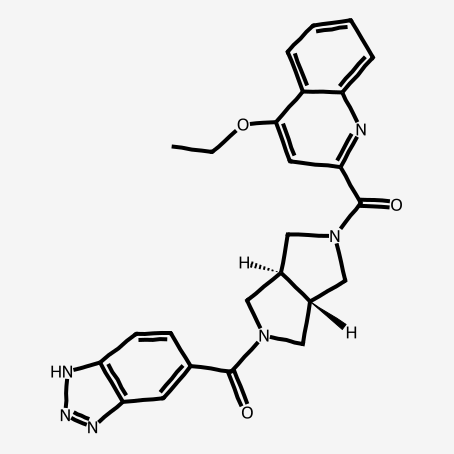 CCOc1cc(C(=O)N2C[C@@H]3CN(C(=O)c4ccc5[nH]nnc5c4)C[C@H]3C2)nc2ccccc12